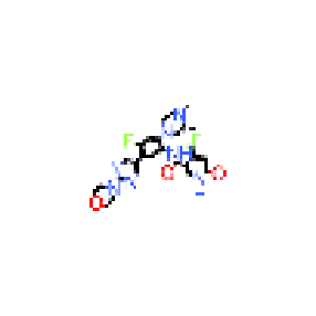 C[C@H]1CN(c2cc(F)c(-c3cnc(N4CCOCC4)nc3)cc2NC(=O)c2c[nH]c(=O)cc2C(F)F)CCN1C